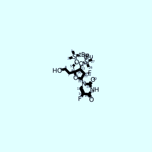 CC(C)(C)[Si](C)(C)OC[C@@]1(CCO)O[C@@H](n2cc(F)c(=O)[nH]c2=O)[C@@H](F)[C@@H]1O[Si](C)(C)C(C)(C)C